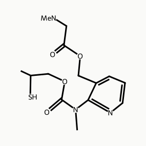 CNCC(=O)OCc1cccnc1N(C)C(=O)OCC(C)S